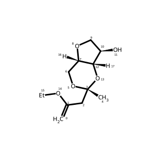 C=C(C[C@]1(C)OC[C@@H]2OC[C@@H](O)[C@@H]2O1)OCC